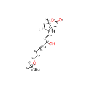 C[C@@H]1C[C@@H]2OC(=O)C[C@@H]2C1/C=C/C(O)C#CCCCO[Si](C)(C)C(C)(C)C